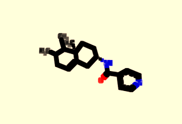 CC1CC=C2C[C@@H](NC(=O)c3ccncc3)CC[C@]2(C)C1C